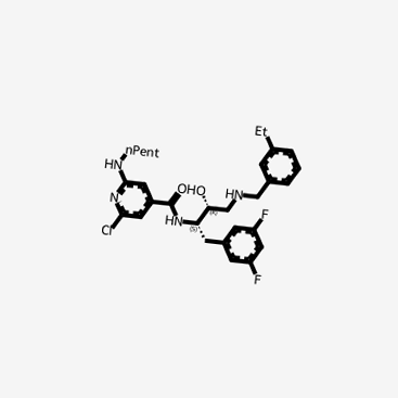 CCCCCNc1cc(C(=O)N[C@@H](Cc2cc(F)cc(F)c2)[C@H](O)CNCc2cccc(CC)c2)cc(Cl)n1